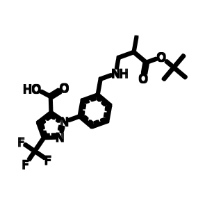 CC(CNCc1cccc(-n2nc(C(F)(F)F)cc2C(=O)O)c1)C(=O)OC(C)(C)C